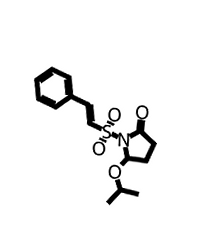 CC(C)OC1CCC(=O)N1S(=O)(=O)C=Cc1ccccc1